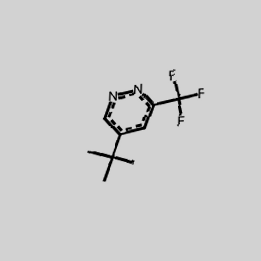 CC(C)(C)c1cnnc(C(F)(F)F)c1